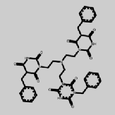 O=C1NC(=O)N(CCN(CCN2C(=O)NC(=O)C(Cc3ccccc3)C2=O)CCn2c(=O)[nH]c(=O)n(Cc3ccccc3)c2=O)C(=O)C1Cc1ccccc1